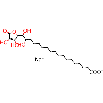 O=C([O-])CCCCCCCCCCCCCCCC(O)[C@H](O)[C@H]1OC(=O)C(O)=C1O.[Na+]